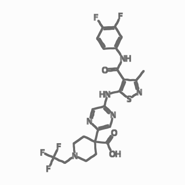 Cc1nsc(Nc2cnc(C3(C(=O)O)CCN(CC(F)(F)F)CC3)cn2)c1C(=O)Nc1ccc(F)c(F)c1